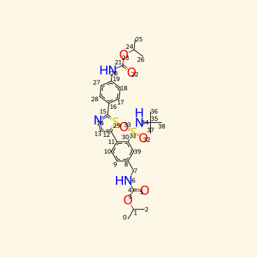 CC(C)OC(=O)NCc1ccc(-c2cnc(-c3ccc(NC(=O)OC(C)C)cc3)s2)c(S(=O)(=O)NC(C)(C)C)c1